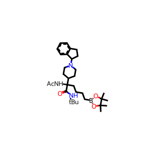 CC(=O)NC(CCCCB1OC(C)(C)C(C)(C)O1)(C(=O)NC(C)(C)C)C1CCN(C2CCc3ccccc32)CC1